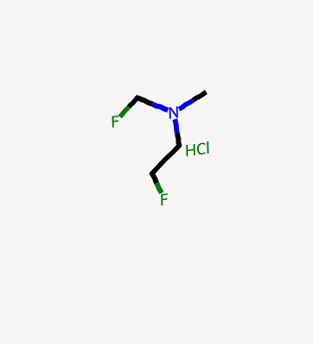 CN(CF)CCF.Cl